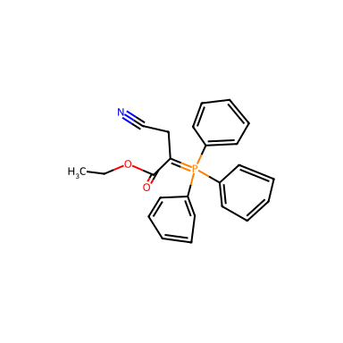 CCOC(=O)C(CC#N)=P(c1ccccc1)(c1ccccc1)c1ccccc1